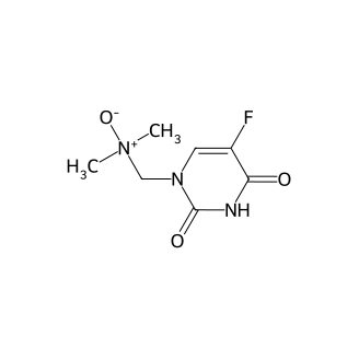 C[N+](C)([O-])Cn1cc(F)c(=O)[nH]c1=O